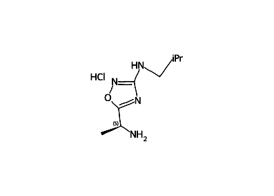 CC(C)CNc1noc([C@H](C)N)n1.Cl